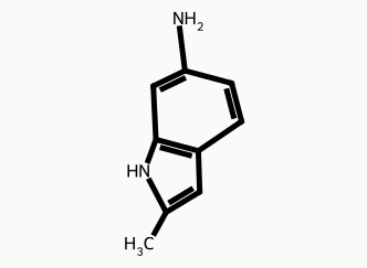 Cc1cc2ccc(N)cc2[nH]1